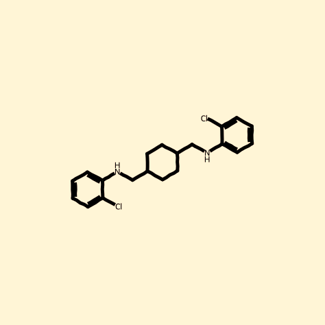 Clc1ccccc1NCC1CCC(CNc2ccccc2Cl)CC1